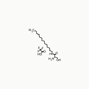 CCCCCCCCCCCCCCNC(=O)C(N)CO.O=C(O)C(F)(F)F